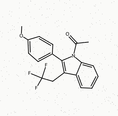 COc1ccc(-c2c(CC(F)(F)F)c3ccccc3n2C(C)=O)cc1